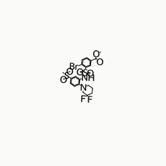 COC(=O)c1ccc(Br)c(S(=O)(=O)Nc2cc(S(C)(=O)=O)ccc2N2CCCC(F)(F)C2)c1